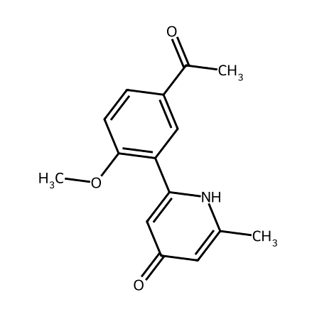 COc1ccc(C(C)=O)cc1-c1cc(=O)cc(C)[nH]1